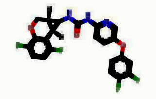 O=C(Nc1ccc(Oc2ccc(F)c(F)c2)cn1)NC1[C@H]2COc3c(F)ccc(F)c3[C@@H]12